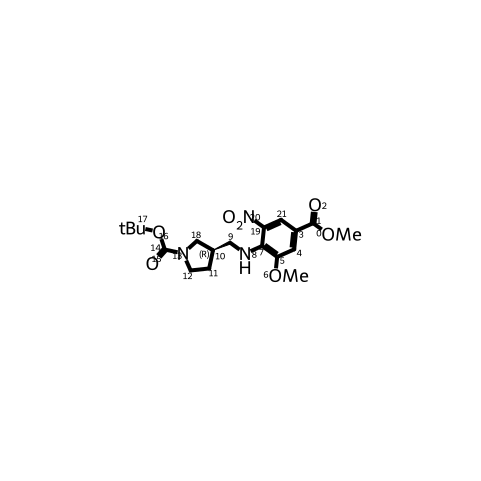 COC(=O)c1cc(OC)c(NC[C@H]2CCN(C(=O)OC(C)(C)C)C2)c([N+](=O)[O-])c1